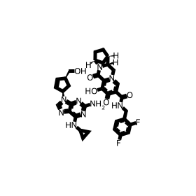 Nc1nc(NC2CC2)c2ncn([C@H]3C=C[C@@H](CO)C3)c2n1.O=C(NCc1ccc(F)cc1F)c1cn2c(c(O)c1=O)C(=O)N1[C@H]3CC[C@H](C3)[C@@H]1C2